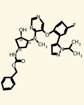 CC(C)n1nccc1-c1cc(F)ccc1Oc1cncnc1N(C)[C@H]1C[C@@H](NC(=O)OCc2ccccc2)C[C@H]1O